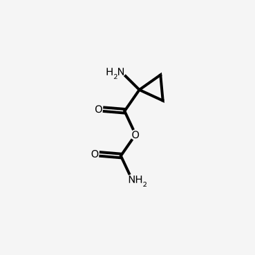 NC(=O)OC(=O)C1(N)CC1